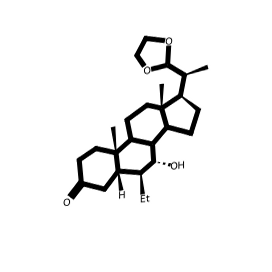 CC[C@@H]1[C@@H](O)C2C3CC[C@H]([C@H](C)C4OCCO4)[C@@]3(C)CCC2[C@@]2(C)CCC(=O)C[C@@H]12